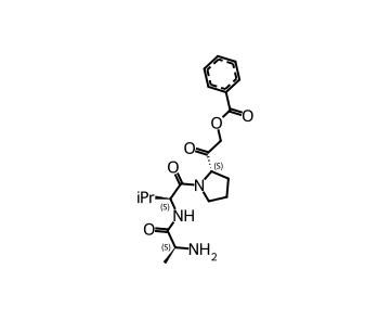 CC(C)[C@H](NC(=O)[C@H](C)N)C(=O)N1CCC[C@H]1C(=O)COC(=O)c1ccccc1